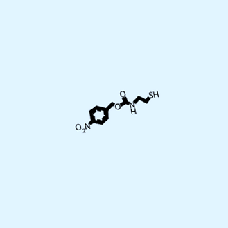 O=C(NCCS)OCc1ccc([N+](=O)[O-])cc1